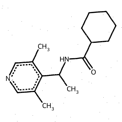 Cc1cncc(C)c1C(C)NC(=O)C1CCCCC1